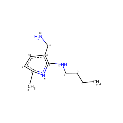 CCCCNc1nc(C)ccc1CN